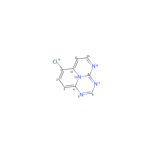 ClC1=CC=C2N=CN=C3N=CC=C1N23